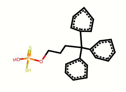 OP(=S)(S)OCCCC(c1ccccc1)(c1ccccc1)c1ccccc1